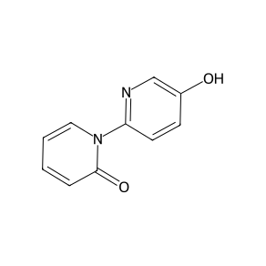 O=c1ccccn1-c1ccc(O)cn1